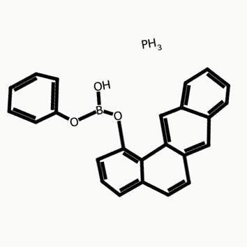 OB(Oc1ccccc1)Oc1cccc2ccc3cc4ccccc4cc3c12.P